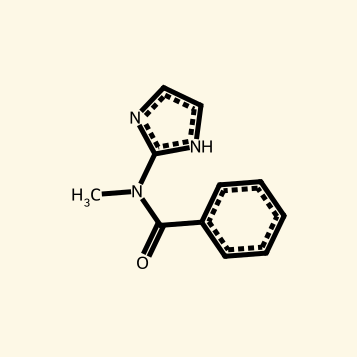 CN(C(=O)c1ccccc1)c1ncc[nH]1